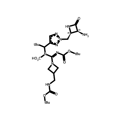 CC(C)(C)OC(=O)N=C(N1CC(CNC(=O)OC(C)(C)C)C1)N(C(=O)O)C(c1cnn(C[C@H]2NC(=O)[C@H]2N)n1)C(C)(C)C